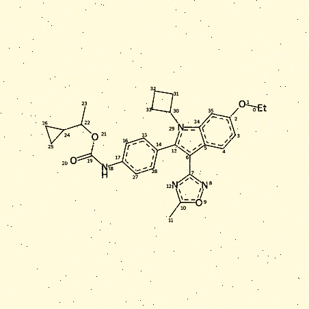 CCOc1ccc2c(-c3noc(C)n3)c(-c3ccc(NC(=O)OC(C)C4CC4)cc3)n(C3CCC3)c2c1